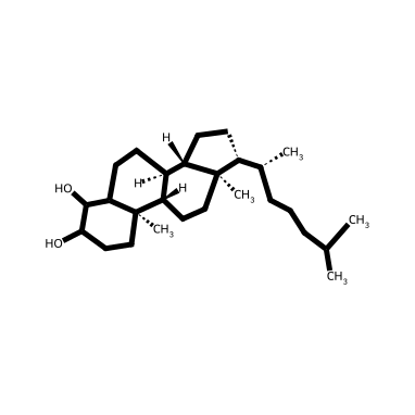 CC(C)CCC[C@@H](C)[C@H]1CC[C@H]2[C@@H]3CCC4C(O)C(O)CC[C@]4(C)[C@H]3CC[C@]12C